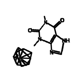 Cn1c(=O)c2[nH]cnc2n(C)c1=O.[CH]12[CH]3[CH]4[CH]5[CH]1[Fe]23451678[CH]2[CH]1[CH]6[CH]7[CH]28